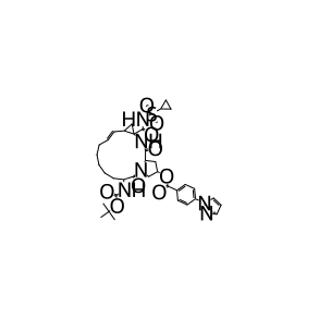 CC(C)(C)OC(=O)NC1CCCCC/C=C/C2CC2(C(=O)NS(=O)(=O)C2CC2)NC(=O)C2CC(OC(=O)c3ccc(-n4cccn4)cc3)CN2C1=O